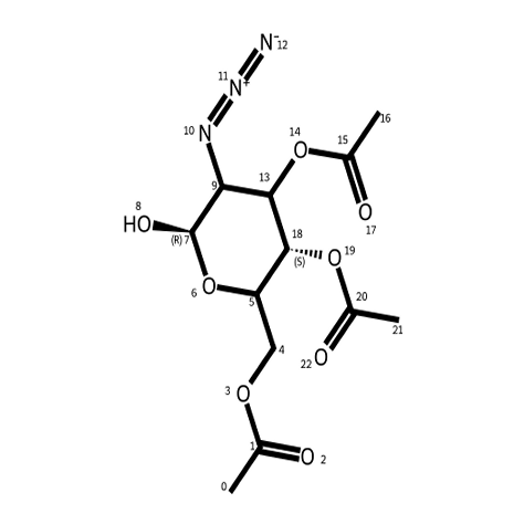 CC(=O)OCC1O[C@@H](O)C(N=[N+]=[N-])C(OC(C)=O)[C@@H]1OC(C)=O